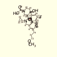 COCCCc1cc(CN(C(=O)[C@H]2CN(C(=O)O)CC[C@]2(O)c2ccc(F)c(F)c2)C2CC2)c(Cl)cn1